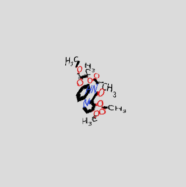 CCCOC[C@@H](Oc1ccccc1)[C@H](C)OC(=O)[C@H](CC)NC(=O)c1nccc(OC)c1OC(C)=O